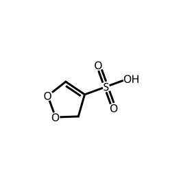 O=S(=O)(O)C1=COOC1